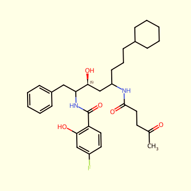 CC(=O)CCC(=O)NC(CCCC1CCCCC1)C[C@H](O)C(Cc1ccccc1)NC(=O)c1ccc(F)cc1O